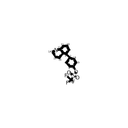 O=S(=O)(Oc1ccc(-c2cccc3ncccc23)cc1)C(F)(F)F